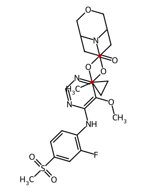 COc1c(Nc2ccc(S(C)(=O)=O)cc2F)ncnc1OC1CC2COCC(C1)N2C(=O)OC1(C)CC1